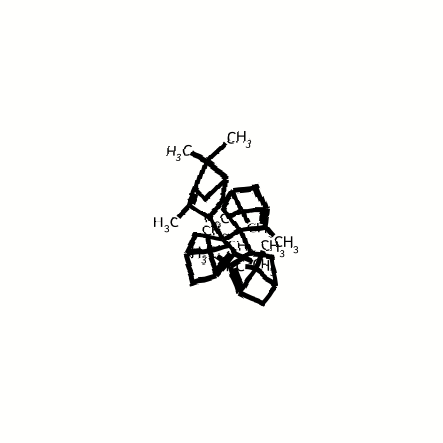 CC1=C2CC(CC1C1(C3(C4CC5CC(=C4C)C5(C)C)CC4CC(=C3C)C4(C)C)CC3CC(=C1C)C3(C)C)C2(C)C